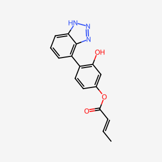 CC=CC(=O)Oc1ccc(-c2cccc3[nH]nnc23)c(O)c1